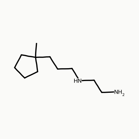 CC1(CCCNCCN)CCCC1